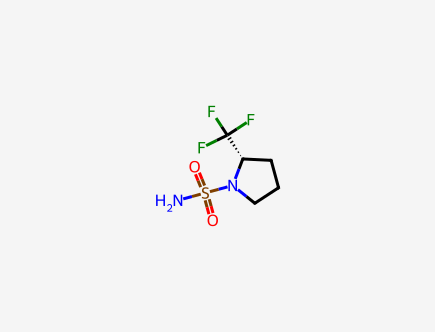 NS(=O)(=O)N1CCC[C@H]1C(F)(F)F